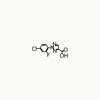 O=C(O)c1cnn(-c2ccc(Cl)cc2F)n1